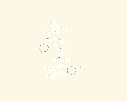 CC1(C)CC(=O)N(CC2=C[C@H]2C(=O)NC2CC(C)(C)Oc3ccc(F)cc32)/C(=N\c2ccncc2)N1